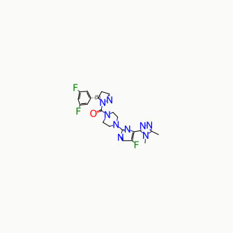 Cc1nnc(-c2nc(N3CCN(C(=O)N4N=CC[C@H]4c4cc(F)cc(F)c4)CC3)ncc2F)n1C